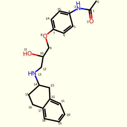 CC(=O)Nc1ccc(OCC(O)CNC2CCc3ccccc3C2)cc1